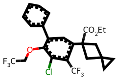 CCOC(=O)C1(c2cc(-c3ccccc3)c(OCC(F)(F)F)c(Cl)c2C(F)(F)F)CC2(CC2)C1